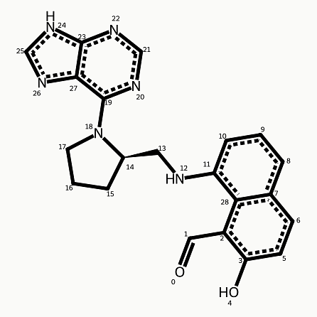 O=Cc1c(O)ccc2cccc(NC[C@H]3CCCN3c3ncnc4[nH]cnc34)c12